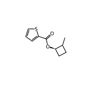 CC1CC[C@H]1OC(=O)c1cccs1